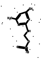 Cc1cc(C)nc(NCO[SH](=O)=O)n1